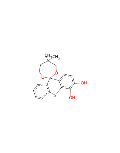 CC1(C)CCOC2(OC1)c1ccccc1Sc1c2ccc(O)c1O